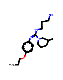 COCCOc1ccc(/N=C(/NCCCN)N2CCCC(C)C2)cc1